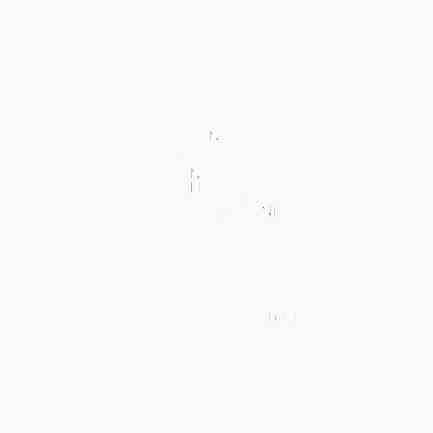 CCCCc1ccc(NC(=O)Cc2nc3ccccc3[nH]2)cc1